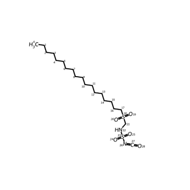 CCCCCCCCCCCCCCCCCCS(=O)(=O)CNS(=O)(=O)N=C=O